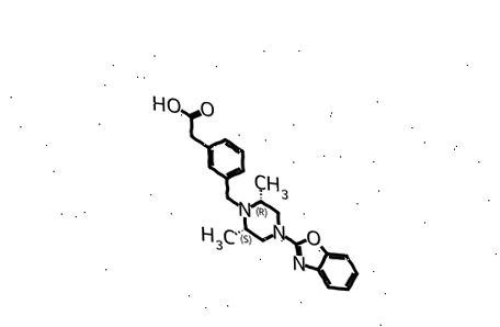 C[C@@H]1CN(c2nc3ccccc3o2)C[C@H](C)N1Cc1cccc(CC(=O)O)c1